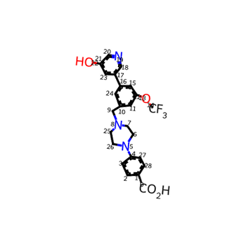 O=C(O)c1ccc(N2CCN(Cc3cc(OC(F)(F)F)cc(-c4cncc(O)c4)c3)CC2)cc1